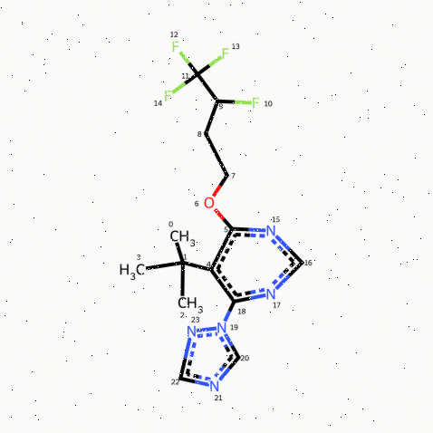 CC(C)(C)c1c(OCCC(F)C(F)(F)F)ncnc1-n1cncn1